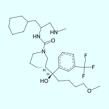 CNCC(CC1CCCCC1)NC(=O)N1CCC[C@@H]([C@@](O)(CCCCOC)c2cccc(C(F)(F)F)c2)C1